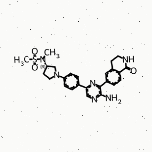 CN([C@@H]1CCN(c2ccc(-c3cnc(N)c(-c4ccc5c(c4)CCNC5=O)n3)cc2)C1)S(C)(=O)=O